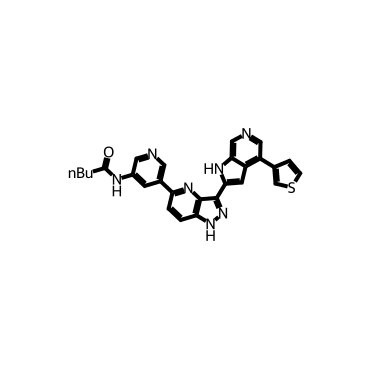 CCCCC(=O)Nc1cncc(-c2ccc3[nH]nc(-c4cc5c(-c6ccsc6)cncc5[nH]4)c3n2)c1